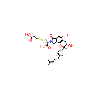 CC(C)=CCC/C(C)=C/CCC1(C)Oc2c(c(O)cc3c2CN([C@@H](CSSCCC(=O)O)C(=O)O)C3=O)CC1O